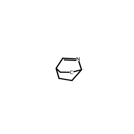 C1=N[C]2CCC1CC2